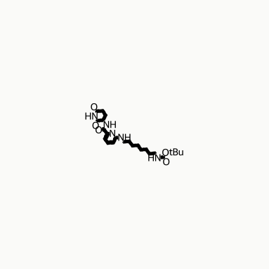 CC(C)(C)OC(=O)NCCCCCCCCNc1cccc(C(=O)NC2CCC(=O)NC2=O)n1